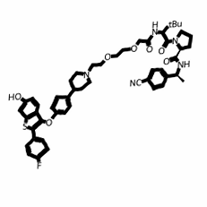 C[C@H](NC(=O)[C@@H]1CCCN1C(=O)C(NC(=O)COCCOCCN1CCC(c2ccc(Oc3c(-c4ccc(F)cc4)sc4cc(O)ccc34)cc2)CC1)C(C)(C)C)c1ccc(C#N)cc1